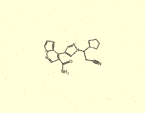 N#CCC(C1CCCC1)n1cc(-c2c(C(N)=O)cnn3cccc23)cn1